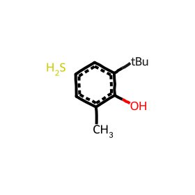 Cc1cccc(C(C)(C)C)c1O.S